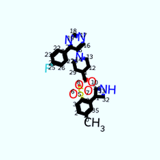 Cc1ccc(S(=O)(=O)OC(=O)C2CCN(c3cncnc3-c3ccc(F)cc3)CC2)c(C2CNC2)c1